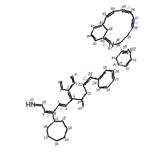 C=CC(C=C)=C(/C=C/C(=C\C=N)C1CCCCCC1)C(C)C/C=C\c1cccc([C@H]2C=CN=C([C@H]3C/C=C\C=C/C=CC4=CC=C/C(=N/3)C4)C2)c1